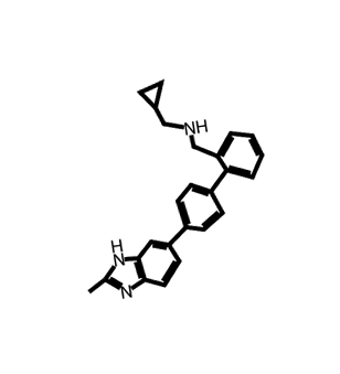 Cc1nc2ccc(-c3ccc(-c4ccccc4CNCC4CC4)cc3)cc2[nH]1